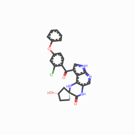 O=C(c1ccc(Oc2ccccc2)cc1Cl)c1c[nH]c2ncc3c(c12)N[C@@]1(CC[C@H](O)C1)C(=O)N3